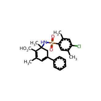 CC1=C(C(=O)O)C(C)(NS(=O)(=O)c2cc(C)c(Cl)cc2C)CC(c2ccccc2)=C1